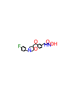 O=C(/C=C/c1ccc2c(c1)C(=O)CC1(CCN(Cc3ccc(F)cc3)CC1)O2)NO